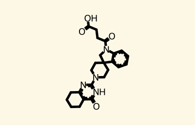 O=C(O)CCC(=O)N1CC2(CCN(c3nc4c(c(=O)[nH]3)CCCC4)CC2)c2ccccc21